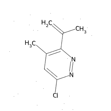 C=C(C)c1nnc(Cl)cc1C